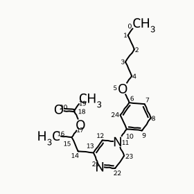 CCCCCOc1cccc(N2C=C(CC(C)OC(C)=O)N=CC2)c1